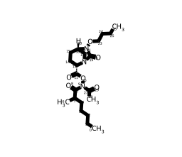 CCCCCC(C)C(=O)N(OC(=O)[C@@H]1CC[C@H]2CN1C(=O)N2OCCCC)C(C)=O